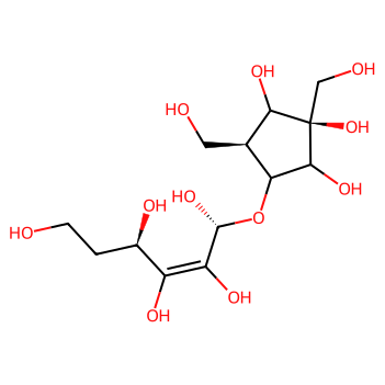 OCC[C@@H](O)/C(O)=C(/O)[C@H](O)OC1C(O)[C@@](O)(CO)C(O)[C@@H]1CO